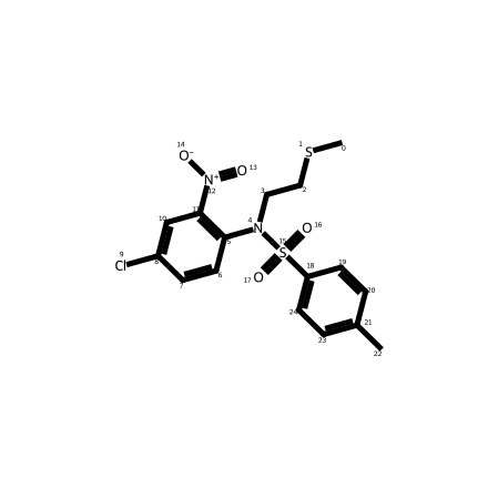 CSCCN(c1ccc(Cl)cc1[N+](=O)[O-])S(=O)(=O)c1ccc(C)cc1